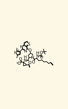 C=CCCCCCC(NC(=O)OC(C)(C)C)C(=O)N1CC(Oc2nc(-c3cc(C)nn3C)nc3ccsc23)CC1C(=O)NC1(C(=O)OC)CC1C=C